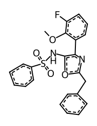 COc1c(F)cccc1-c1nc(Cc2ccccc2)oc1NS(=O)(=O)c1ccccc1